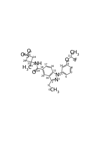 CCc1nn(-c2cccc(OC(C)F)c2)c2ccc(C(=O)NC3(C)CS(=O)(=O)C3)cc12